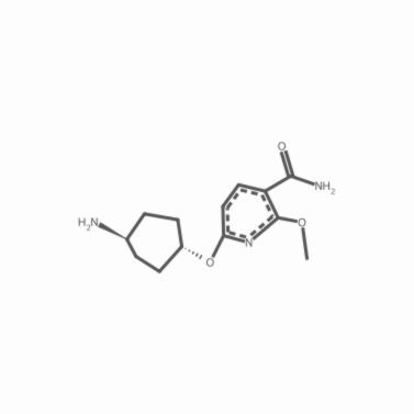 COc1nc(O[C@H]2CC[C@H](N)CC2)ccc1C(N)=O